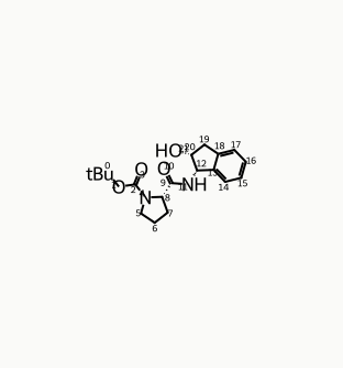 CC(C)(C)OC(=O)N1CCC[C@H]1C(=O)N[C@H]1c2ccccc2C[C@H]1O